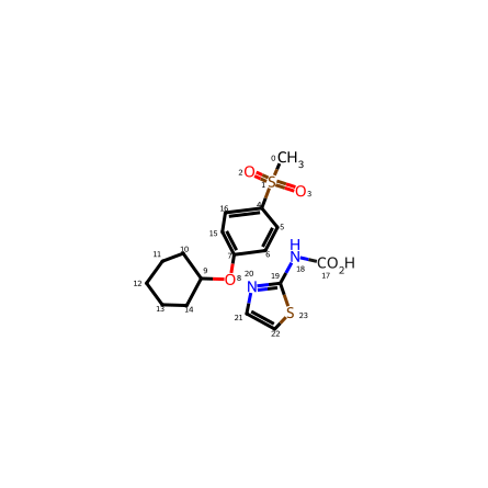 CS(=O)(=O)c1ccc(OC2CCCCC2)cc1.O=C(O)Nc1nccs1